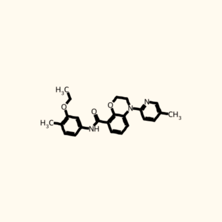 CCOc1cc(NC(=O)c2cccc3c2OCCN3c2ccc(C)cn2)ccc1C